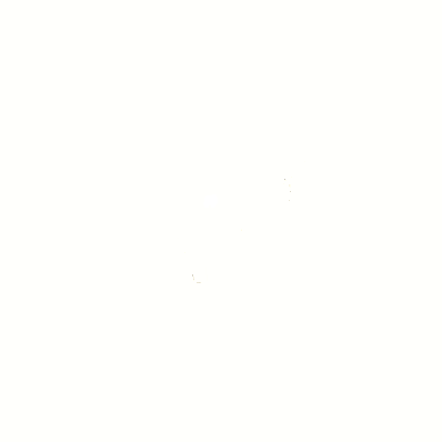 C=CC(Cl)/C=C(\C)CNC